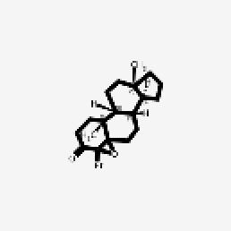 CCC12OC13CC[C@@H]1[C@@H](CC[C@]4(C)CCC[C@@H]14)[C@@]3(C)CCC2=O